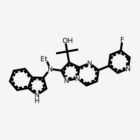 CCN(c1nn2ccc(-c3cncc(F)c3)nc2c1C(C)(C)O)c1c[nH]c2ccccc12